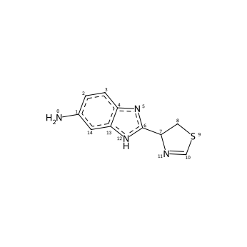 Nc1ccc2nc(C3CSC=N3)[nH]c2c1